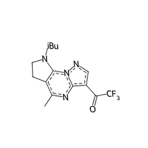 CCC(C)N1CCc2c(C)nc3c(C(=O)C(F)(F)F)cnn3c21